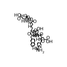 NNc1ccc(C(=O)NC(CCC(=O)O)C(=O)NC(CC(=O)O)C(=O)NC(Cc2ccc3ccccc3c2)C(=O)NCCCCC(NC(=O)NC(CCC(=O)O)C(=O)O)C(=O)O)cn1